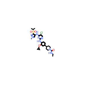 CCNC(=O)N1CCC(c2ccc(Nc3ncc(Cl)c(Nc4cn(C)nc4S(=O)(=O)C(C)C)n3)c(OC3CC3)c2)CC1